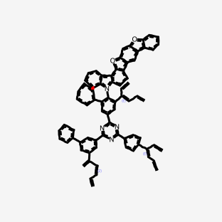 C=C/C=C\C(=C)c1cc(-c2ccccc2)cc(-c2nc(-c3ccc(/C(C=C)=C/C=C)cc3)nc(-c3cc(/C(C=C)=C/C=C)c(-n4c5ccccc5c5c6oc7cc8oc9ccccc9c8cc7c6ccc54)c(-c4ccccc4)c3)n2)c1